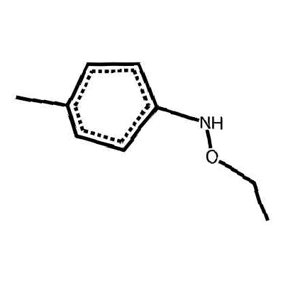 CCONc1ccc(C)cc1